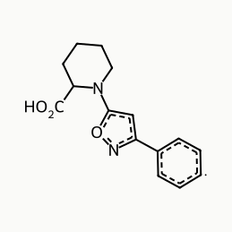 O=C(O)C1CCCCN1c1cc(-c2cc[c]cc2)no1